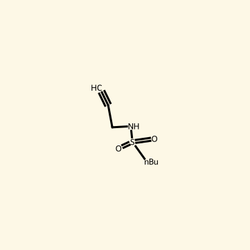 C#CCNS(=O)(=O)CCCC